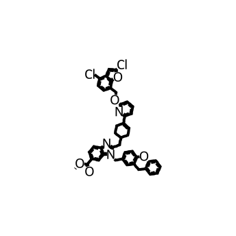 COC(=O)c1ccc2nc(CC3CC=C(c4cccc(OCc5ccc(Cl)c6cc(Cl)oc56)n4)CC3)n(Cc3ccc4c(c3)Cc3ccccc3O4)c2c1